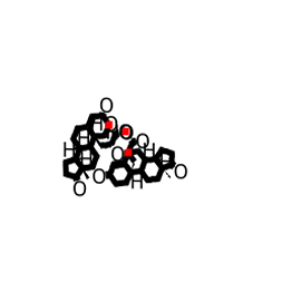 C[C@]12CC[C@H]3[C@@H](CCC4=CC(=O)CC[C@@]43CC(OC(C[C@]34CCC(=O)C=C3CC[C@@H]3[C@@H]4CC[C@]4(C)C(=O)CC[C@@H]34)C(=O)O)C(=O)O)[C@@H]1CCC2=O